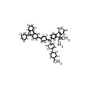 Cc1ccc(C2=CC=C(N(c3ccc(-c4ccc5c(c4)c4ccccc4n5-c4ccccc4)cc3)c3ccc4c(c3)C(C)(C)C3=C4CCC=C3)CC2)cc1